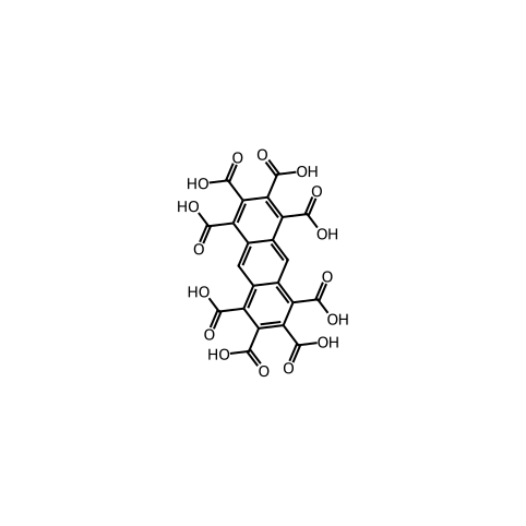 O=C(O)c1c(C(=O)O)c(C(=O)O)c2cc3c(C(=O)O)c(C(=O)O)c(C(=O)O)c(C(=O)O)c3cc2c1C(=O)O